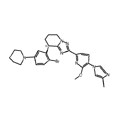 COc1nc(-c2nc3n(n2)CCC[C@@H]3c2cc(N3CCCCC3)ccc2Br)ccc1-n1cnc(C)c1